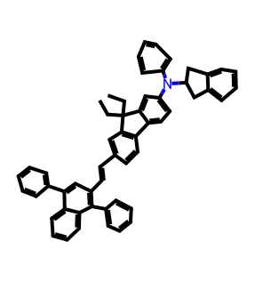 CCC1(CC)c2cc(/C=C/c3cc(-c4ccccc4)c4ccccc4c3-c3ccccc3)ccc2-c2ccc(N(c3ccccc3)C3Cc4ccccc4C3)cc21